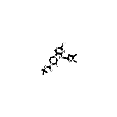 Cc1cc(Nc2nc(Cl)ncc2N2CCN(C(=O)OC(C)(C)C)[C@H](C)C2)nn1C